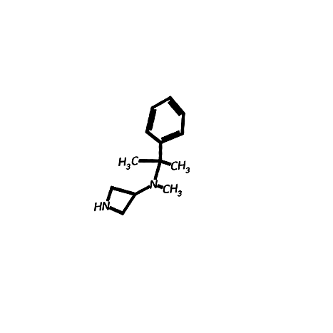 CN(C1CNC1)C(C)(C)c1ccccc1